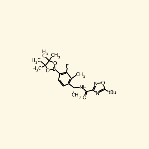 Cc1c([C@@H](C)NC(=O)c2noc(C(C)(C)C)n2)ccc(B2OC(C)(C)C(C)(C)O2)c1F